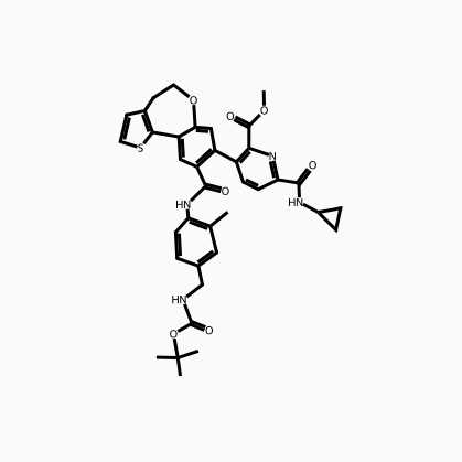 COC(=O)c1nc(C(=O)NC2CC2)ccc1-c1cc2c(cc1C(=O)Nc1ccc(CNC(=O)OC(C)(C)C)cc1C)-c1sccc1CCO2